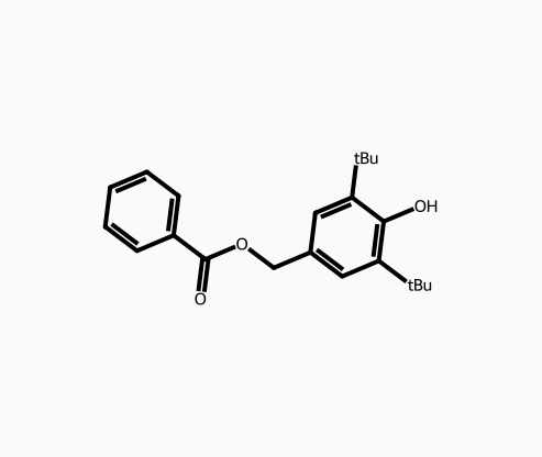 CC(C)(C)c1cc(COC(=O)c2ccccc2)cc(C(C)(C)C)c1O